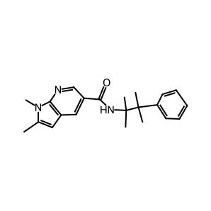 Cc1cc2cc(C(=O)NC(C)(C)C(C)(C)c3ccccc3)cnc2n1C